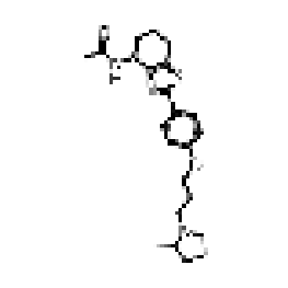 CC(=O)NC1CCCc2sc(-c3ccc(OCCCN4CCCC4C)cc3)nc21